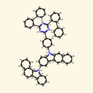 c1ccc(-c2ccccc2-c2nc(-c3ccc(-n4c5ccc(-n6c7ccccc7c7ccc8ccccc8c76)cc5c5cc6ccccc6cc54)cc3)nc(-c3ccccc3-c3ccccc3)n2)cc1